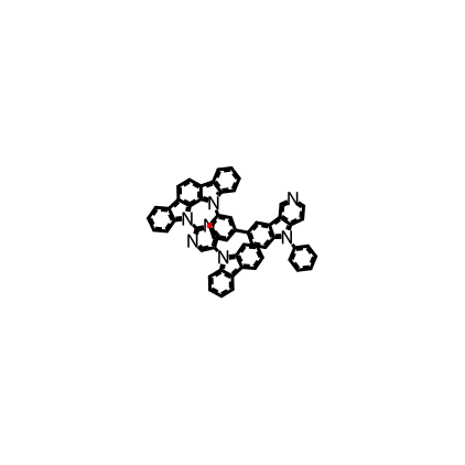 c1ccc(-n2c3ccncc3c3cc(-c4cccc(-n5c6ccccc6c6ccc7c8ccccc8n(-c8ncc(-n9c%10ccccc%10c%10ccccc%109)cn8)c7c65)c4)ccc32)cc1